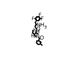 Cc1cccc(C(=O)N2C[C@@H]3CCN(C(=O)CC(N)Cc4cc(F)c(F)cc4F)[C@@H]3C2)c1